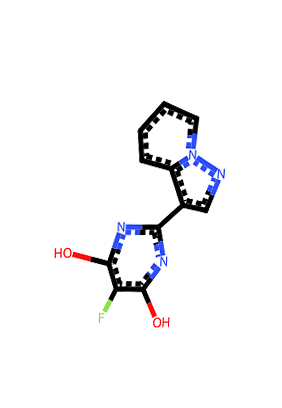 Oc1nc(-c2cnn3ccccc23)nc(O)c1F